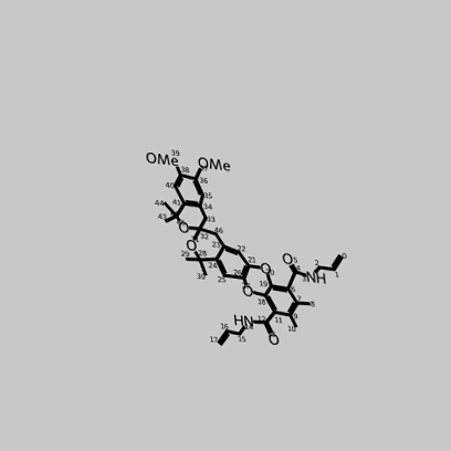 C=CCNC(=O)c1c(C)c(C)c(C(=O)NCC=C)c2c1Oc1cc3c(cc1O2)C(C)(C)OC1(Cc2cc(OC)c(OC)cc2C(C)(C)O1)C3